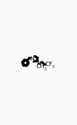 CN(CCC(F)(F)F)[C@@H]1CCN(Cc2ccccc2)C1